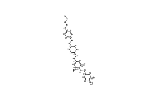 CCCCCc1ccc(CCC2CCC(CCc3cc(F)c(CCc4ccc(Cl)c(F)c4)c(F)c3)CC2)cc1